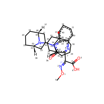 CO/N=C(\C(=O)O)c1nc2ccccc2n(C2C[C@H]3CCC[C@@H](C2)N3C2C[C@H]3CCCC[C@@H](C2)C3)c1=O